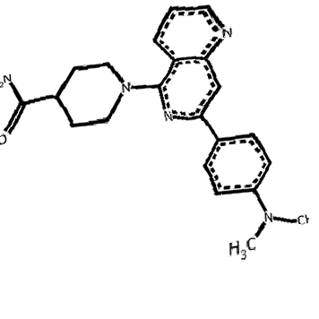 CN(C)c1ccc(-c2cc3ncccc3c(N3CCC(C(N)=O)CC3)n2)cc1